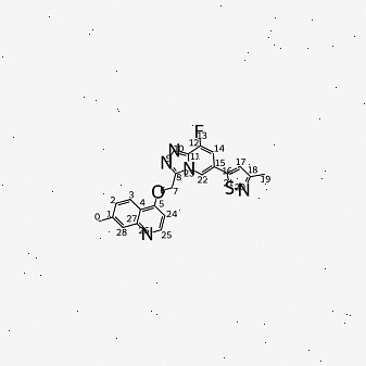 Cc1ccc2c(OCc3nnc4c(F)cc(-c5cc(C)ns5)cn34)ccnc2c1